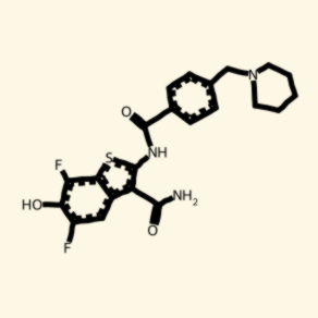 NC(=O)c1c(NC(=O)c2ccc(CN3CCCCC3)cc2)sc2c(F)c(O)c(F)cc12